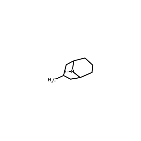 CC(=O)N1C2CCCC1CC(C)C2